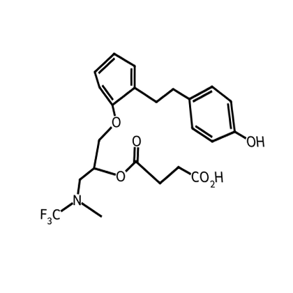 CN(CC(COc1ccccc1CCc1ccc(O)cc1)OC(=O)CCC(=O)O)C(F)(F)F